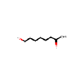 CCCC(C)C(=O)CCCCCC[O]